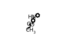 C/C=C/C(=O)Oc1ccc(Nc2ccccc2)cc1